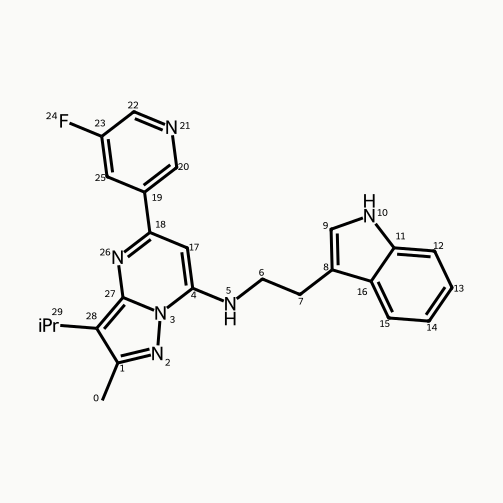 Cc1nn2c(NCCc3c[nH]c4ccccc34)cc(-c3cncc(F)c3)nc2c1C(C)C